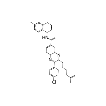 C=C(C)CCCCC1=NC2=CC(C(=C)NC3CCCc4cc(C)ccc43)=CCC2N=C1C1=CC=C(Cl)CC1